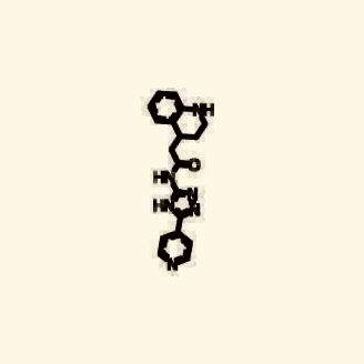 O=C(CC1CCNc2ccccc21)Nc1nnc(-c2ccncc2)[nH]1